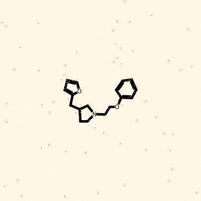 c1ccc(OCCN2CCC(Cc3ccco3)C2)cc1